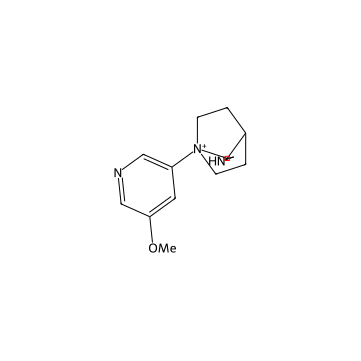 COc1cncc([N+]23CCC(CC2)C32CCNC2)c1